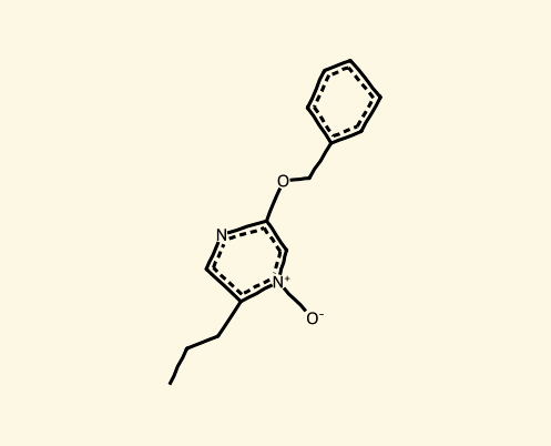 CCCc1cnc(OCc2ccccc2)c[n+]1[O-]